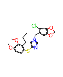 CCCc1c(Sc2cn(Cc3cc4c(cc3Cl)OCO4)cn2)ccc(OC)c1OC